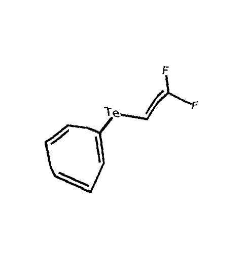 FC(F)=C[Te]c1ccccc1